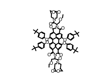 CCOCC(C(=O)N(CC1CO1)CC1CO1)N1C(=O)c2cc(Oc3ccc(C(C)(C)C)cc3)c3c4c(Oc5ccc(C(C)(C)C)cc5)cc5c6c(cc(Oc7ccc(C(C)(C)C)cc7)c(c7c(Oc8ccc(C(C)(C)C)cc8)cc(c2c37)C1=O)c64)C(=O)N(C(COCC)C(=O)N(CC1CO1)CC1CO1)C5=O